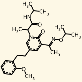 COc1ccccc1CCc1cc(/C(C)=N/OC(C)C)c(=O)n(C(C)C(=O)NC(C)C)c1